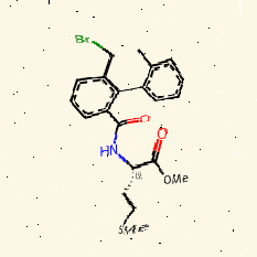 COC(=O)[C@H](CCSC)NC(=O)c1cccc(CBr)c1-c1ccccc1C